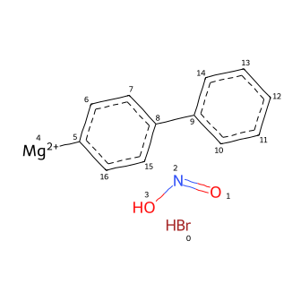 Br.O=NO.[Mg+2][c]1ccc(-c2ccccc2)cc1